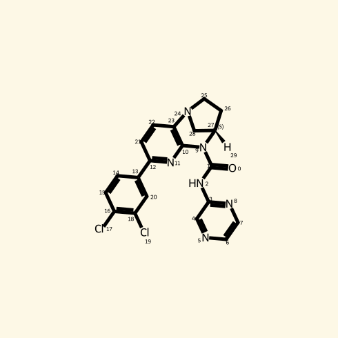 O=C(Nc1cnccn1)N1c2nc(-c3ccc(Cl)c(Cl)c3)ccc2N2CC[C@H]1C2